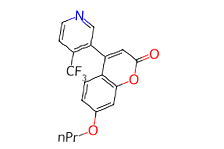 CCCOc1ccc2c(-c3cnccc3C(F)(F)F)cc(=O)oc2c1